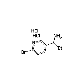 CCC(N)c1ccc(Br)nc1.Cl.Cl